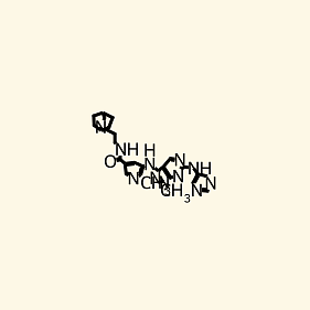 Cc1ncc(C(=O)NCCN2CC3CCC2CC3)cc1Nc1nn(C)c2nc(Nc3cncnc3)ncc12